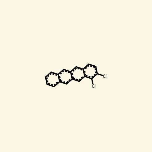 Clc1ccc2cc3cc4ccccc4cc3cc2c1Cl